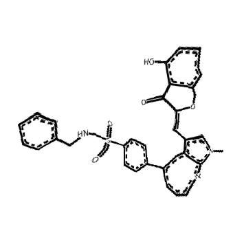 Cn1cc(/C=C2\Oc3cccc(O)c3C2=O)c2c(-c3ccc(S(=O)(=O)NCc4ccccc4)cc3)ccnc21